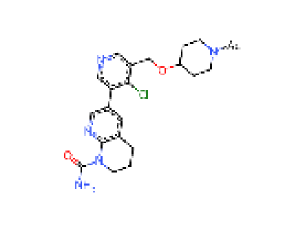 CC(=O)N1CCC(OCc2cncc(-c3cnc4c(c3)CCCN4C(N)=O)c2Cl)CC1